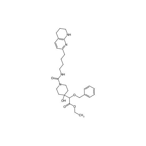 CCOC(=O)C(OCc1ccccc1)C1(O)CCN(C(=O)NCCCCc2ccc3c(n2)NCCC3)CC1